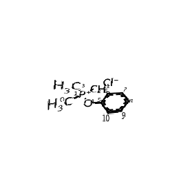 C[P+](C)(C)Oc1ccccc1.[Cl-]